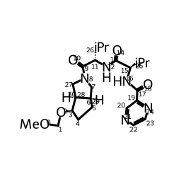 COCO[C@@H]1CC[C@@H]2CN(C(=O)[C@@H](NC(=O)[C@H](NC(=O)c3cnccn3)C(C)C)C(C)C)C[C@@H]21